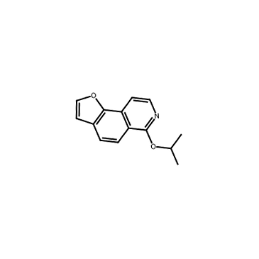 CC(C)Oc1nccc2c1ccc1ccoc12